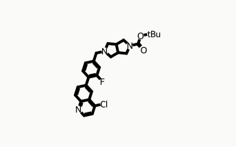 CC(C)(C)OC(=O)N1CC2CN(Cc3ccc(-c4ccc5nccc(Cl)c5c4)c(F)c3)CC2C1